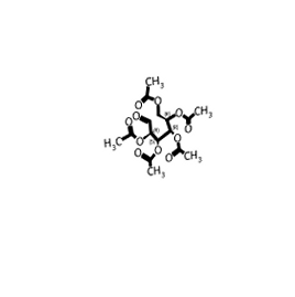 CC(=O)OC[C@@H](OC(C)=O)[C@@H](OC(C)=O)[C@H](OC(C)=O)[C@H](C=O)OC(C)=O